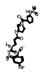 O=C(CCNc1n[n+]([O-])c2cc(Br)ccc2[n+]1[O-])OC1=CN(C(=O)c2cccc(N[SH](=O)=O)c2)CC1